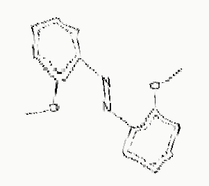 COc1ccccc1N=Nc1ccccc1OC